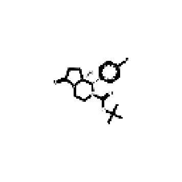 CC(C)(C)OC(=O)N1CCN2C(=O)CC[C@H]2[C@@H]1c1ccc(F)cc1